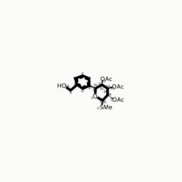 CS[C@H]1O[C@@H](c2cccc(CO)c2)[C@H](OC(C)=O)[C@@H](OC(C)=O)[C@@H]1OC(C)=O